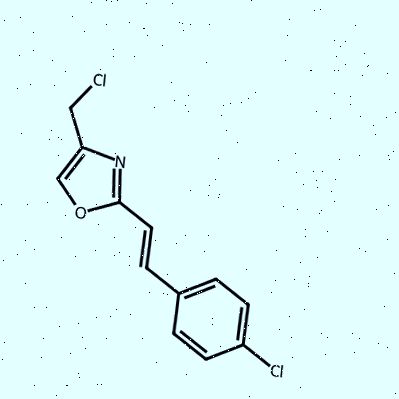 ClCc1coc(C=Cc2ccc(Cl)cc2)n1